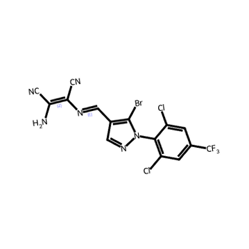 N#C/C(N)=C(C#N)/N=C/c1cnn(-c2c(Cl)cc(C(F)(F)F)cc2Cl)c1Br